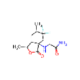 CC1OC(=O)C2(NCC(N)=O)CC(F)(F)C(C)CC12